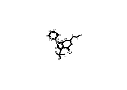 CCCC1CC(=O)c2c(C(C)(C)C)cn(-c3ccccn3)c2C1